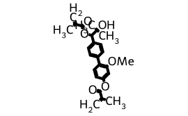 C=C(C)C(=O)Oc1ccc(-c2ccc(C(OC(=O)C(=C)C)C(C)(C)O)cc2)c(OC)c1